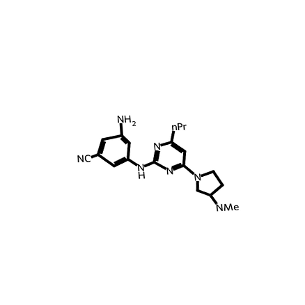 CCCc1cc(N2CCC(NC)C2)nc(Nc2cc(N)cc(C#N)c2)n1